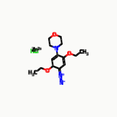 CCOC1=CC(=[N+]=[N-])C(OCC)C=C1N1CCOCC1.Cl.[Zn+2]